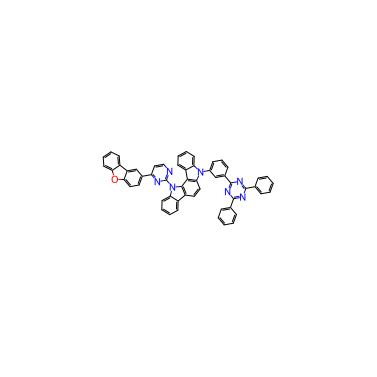 c1ccc(-c2nc(-c3ccccc3)nc(-c3cccc(-n4c5ccccc5c5c4ccc4c6ccccc6n(-c6nccc(-c7ccc8oc9ccccc9c8c7)n6)c45)c3)n2)cc1